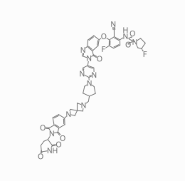 N#Cc1c(NS(=O)(=O)N2CC[C@@H](F)C2)ccc(F)c1Oc1ccc2ncn(-c3cnc(N4CCC(CN5CC6(C5)CN(c5ccc7c(c5)C(=O)N(C5CCC(=O)NC5=O)C7=O)C6)CC4)nc3)c(=O)c2c1